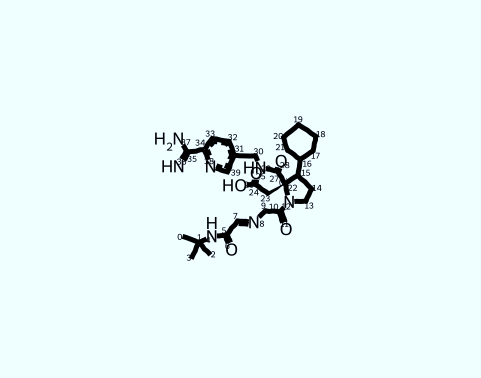 CC(C)(C)NC(=O)C=NCC(=O)N1CCC(C2CCCCC2)[C@@]1(CC(=O)O)C(=O)NCc1ccc(C(=N)N)nc1